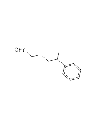 CC(CCCC=O)c1ccccc1